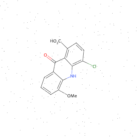 COc1cccc2c(=O)c3c(C(=O)O)ccc(Cl)c3[nH]c12